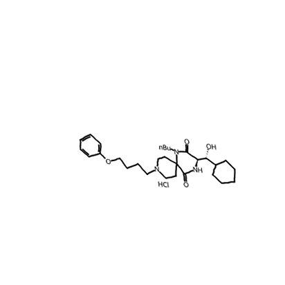 CCCCN1C(=O)[C@@H]([C@H](O)C2CCCCC2)NC(=O)C12CCN(CCCCOc1ccccc1)CC2.Cl